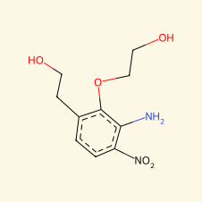 Nc1c([N+](=O)[O-])ccc(CCO)c1OCCO